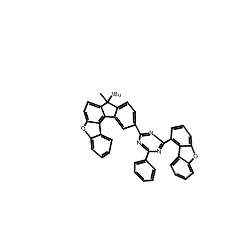 CC(C)(C)C1(C)c2ccc(-c3nc(-c4ccccc4)nc(-c4cccc5oc6ccccc6c45)n3)cc2-c2c1ccc1oc3ccccc3c21